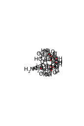 NOCCOC(C(P(=O)(O)O)P(=O)(O)O)(C(P(=O)(O)O)P(=O)(O)O)C(ON)(C(P(=O)(O)O)P(=O)(O)O)C(P(=O)(O)O)P(=O)(O)O